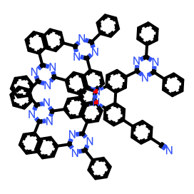 N#Cc1ccc(-c2ccc(-n3c4ccc(-c5nc(-c6ccccc6)nc(-c6ccccc6)n5)cc4c4cc(-c5nc(-c6ccccc6)nc(-c6ccccc6)n5)ccc43)c(-c3cc(-c4nc(-c5ccccc5)nc(-c5ccccc5)n4)ccc3-n3c4ccc(-c5nc(-c6ccccc6)nc(-c6ccccc6)n5)cc4c4cc(-c5nc(-c6ccccc6)nc(-c6ccccc6)n5)ccc43)c2)cc1